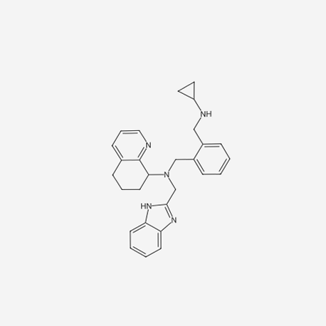 c1ccc(CN(Cc2nc3ccccc3[nH]2)C2CCCc3cccnc32)c(CNC2CC2)c1